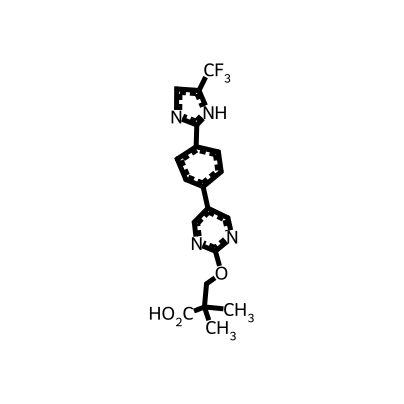 CC(C)(COc1ncc(-c2ccc(-c3ncc(C(F)(F)F)[nH]3)cc2)cn1)C(=O)O